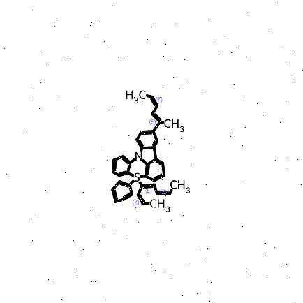 C/C=C\C=C(/C)c1ccc2c(c1)c1cccc3c1n2-c1ccccc1S3(C(/C=C\C)=C/C=C\C)c1ccccc1